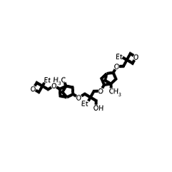 CCC1(COC2CC3(C)CC2CC3OCC(CC)(CO)COC2CC3(C)CC2CC3OCC2(CC)COC2)COC1